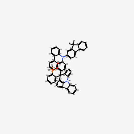 CC1(C)c2ccccc2-c2ccc(N(c3ccc4c(c3)[PH](C)(C)c3ccccc3C43c4ccccc4-n4c5ccccc5c5cccc3c54)c3ccccc3-c3ccccc3)cc21